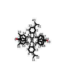 Cc1ccc(N2c3ccc(C(C)C)cc3N(c3ccc(C)c(C)c3)C2C2N(c3ccc(C)c(C)c3)c3ccc(C(C)C)cc3N2c2ccc(C)c(C)c2)cc1C